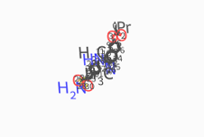 CC(C)C(=O)Oc1ccc2c(c1)[C@@]1(C)CC3(C2)CN(C)C3[C@H]1Nc1ccc(CCS(N)(=O)=O)cc1